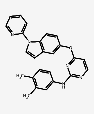 Cc1ccc(Nc2nccc(Oc3ccc4c(ccn4-c4ccccn4)c3)n2)cc1C